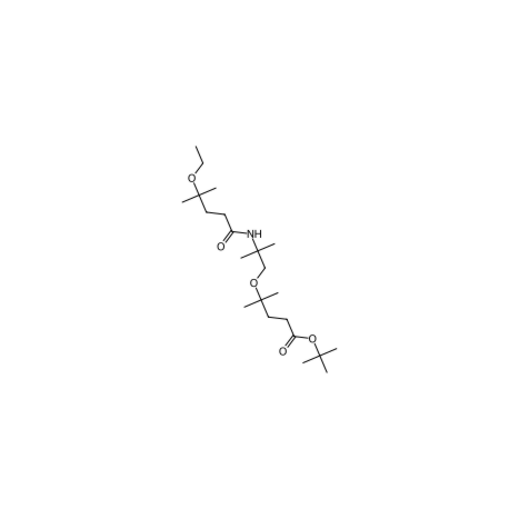 CCOC(C)(C)CCC(=O)NC(C)(C)COC(C)(C)CCC(=O)OC(C)(C)C